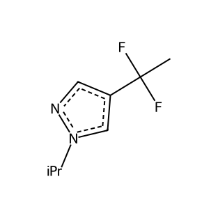 CC(C)n1cc(C(C)(F)F)cn1